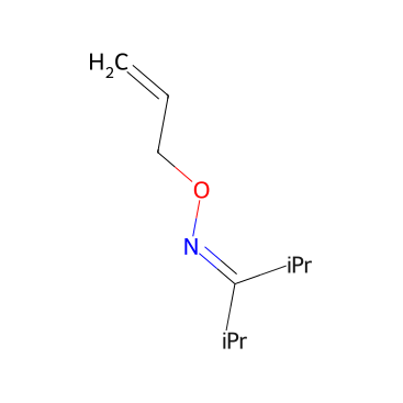 C=CCON=C(C(C)C)C(C)C